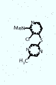 CNc1nccc(Sc2cnc(C)cn2)c1Cl